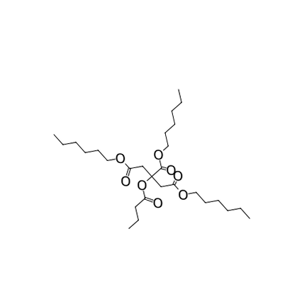 CCCCCCOC(=O)CC(CC(=O)OCCCCCC)(OC(=O)CCC)C(=O)OCCCCCC